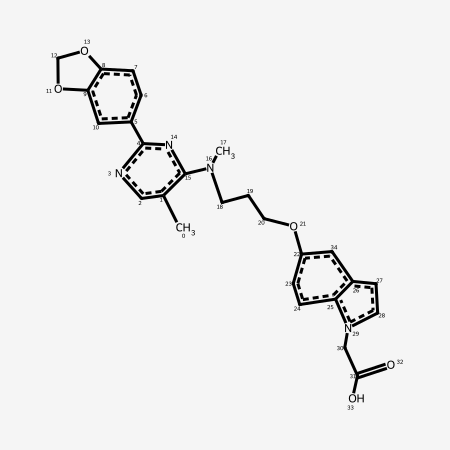 Cc1cnc(-c2ccc3c(c2)OCO3)nc1N(C)CCCOc1ccc2c(ccn2CC(=O)O)c1